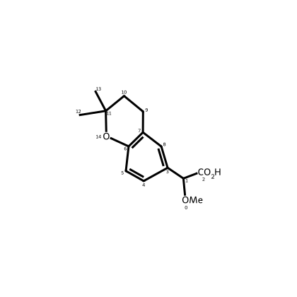 COC(C(=O)O)c1ccc2c(c1)CCC(C)(C)O2